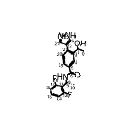 CC(O)c1cc(C(=O)N[C@H](C)c2c(F)cccc2F)ccc1-c1cn[nH]c1